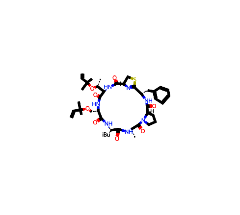 C=CC(C)(C)OC[C@@H]1NC(=O)[C@H]([C@@H](C)OC(C)(C)C=C)NC(=O)[C@@H]2CSC(=N2)[C@H](Cc2ccccc2)NC(=O)[C@@H]2CCCN2C(=O)[C@H](C)NC(=O)[C@H]([C@@H](C)CC)NC1=O